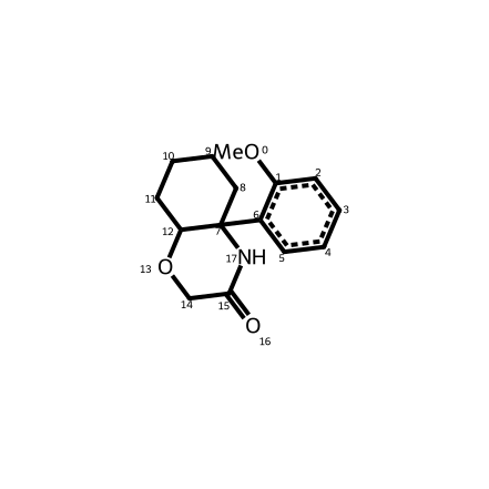 COc1ccccc1C12CCCCC1OCC(=O)N2